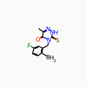 Bc1ccc(F)cc1Cn1c(=S)[nH]nc(C)c1=O